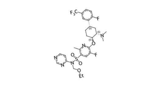 CCOCN(c1ccncn1)S(=O)(=O)c1cc(F)c(O[C@H]2CC[C@H](c3cc(C(F)(F)F)ccc3F)C[C@@H]2N(C)C)nc1C